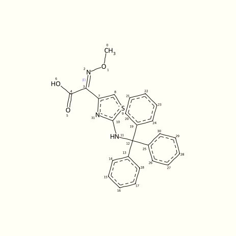 CO/N=C(/C(=O)O)c1csc(NC(c2ccccc2)(c2ccccc2)c2ccccc2)n1